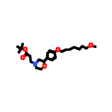 COCCCCCCCOc1ccc(C2CN(CCC(=O)OC(C)(C)C)CCO2)cc1